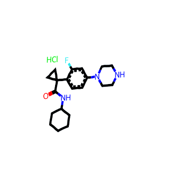 Cl.O=C(NC1CCCCC1)C1(c2ccc(N3CCNCC3)cc2F)CC1